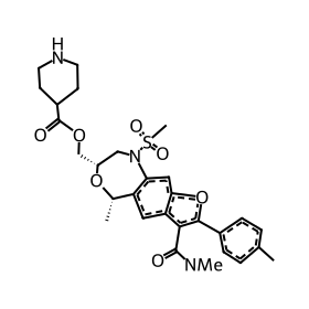 CNC(=O)c1c(-c2ccc(C)cc2)oc2cc3c(cc12)[C@H](C)O[C@H](COC(=O)C1CCNCC1)CN3S(C)(=O)=O